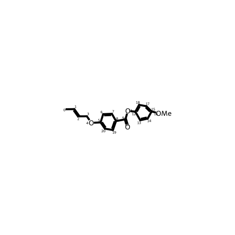 CC=CCOc1ccc(C(=O)Oc2ccc(OC)cc2)cc1